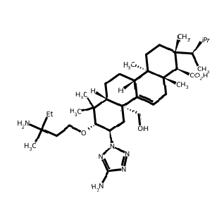 CCC(C)(N)CCO[C@H]1[C@H](n2nnc(N)n2)C[C@]2(CO)C3=CC[C@@]4(C)[C@H](C(=O)O)[C@@](C)([C@H](C)C(C)C)CC[C@]4(C)[C@H]3CC[C@H]2C1(C)C